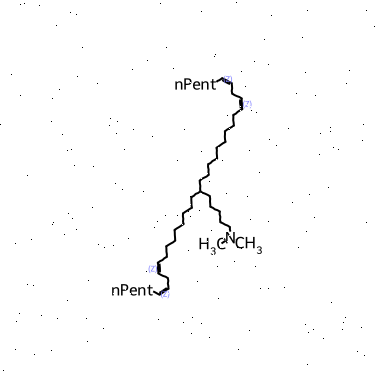 CCCCC/C=C\C/C=C\CCCCCCCCCC(CCCCCCCC/C=C\C/C=C\CCCCC)CCCCCN(C)C